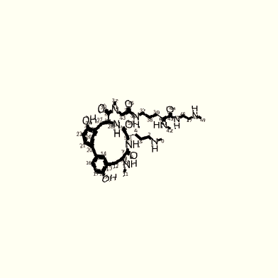 CNCCC[C@@H]1NC(=O)[C@@H](NC)Cc2cc(ccc2O)-c2ccc(O)c(c2)C[C@@H](C(=O)N(C)CC(=O)NCCC[C@H](NC)C(=O)NCCNC)NC1=O